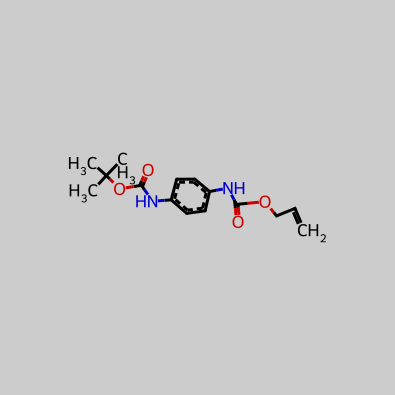 C=CCOC(=O)Nc1ccc(NC(=O)OC(C)(C)C)cc1